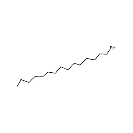 CCCCCCCCCCCCCCC[PH]